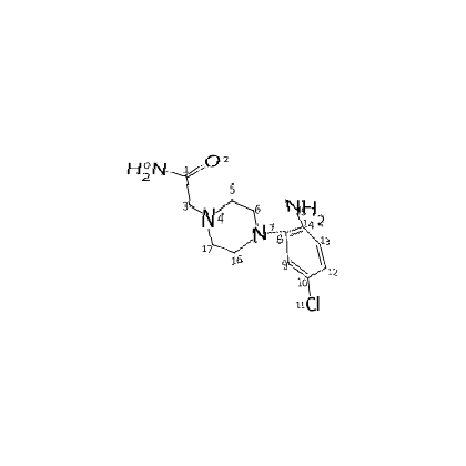 NC(=O)CN1CCN(c2cc(Cl)ccc2N)CC1